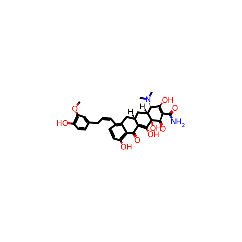 COc1cc(C/C=C\c2ccc(O)c3c2C[C@@H]2C[C@@H]4[C@H](N(C)C)C(O)=C(C(N)=O)C(=O)[C@]4(O)C(O)=C2C3=O)ccc1O